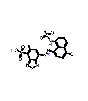 Cc1cc(/N=N/c2ccc(O)c3cccc(NS(C)(=O)=O)c23)c2nsnc2c1S(=O)(=O)O